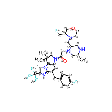 C[C@@H]1CN(CC(=O)N2CC(C)(C)c3c2cc(Cc2ccc(F)cc2)c2nc(C(F)(F)F)cn32)[C@@H](CN2CCOCC2CF)CN1